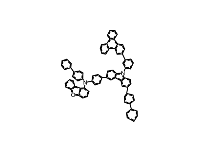 c1ccc(-c2ccc(-c3ccc4c(c3)c3cc(-c5ccc(N(c6ccc(-c7ccccc7)cc6)c6cccc7oc8ccccc8c67)cc5)ccc3n4-c3cccc(-c4ccc5c6ccccc6c6ccccc6c5c4)c3)cc2)cc1